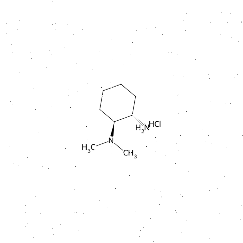 CN(C)[C@H]1CCCC[C@@H]1N.Cl